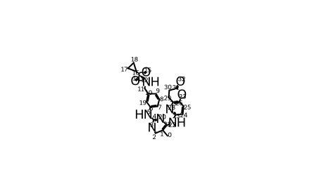 Cc1cnc(Nc2cccc(CNS(=O)(=O)C3CC3)c2)nc1Nc1ccc2c(n1)CCC(=O)O2